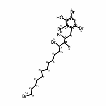 Oc1c(Br)cc(Br)c(CC(Br)C(Br)C(Br)CCCCCCCCCCCBr)c1Br